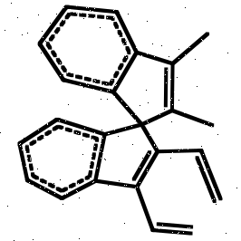 C=CC1=C(C=C)C2(C(C)=C(C)c3ccccc32)c2ccccc21